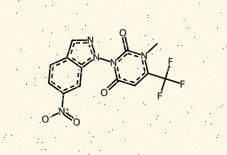 Cn1c(C(F)(F)F)cc(=O)n(-n2ncc3ccc([N+](=O)[O-])cc32)c1=O